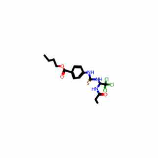 CCCCOC(=O)c1ccc(NC(=S)NC(NC(=O)CC)C(Cl)(Cl)Cl)cc1